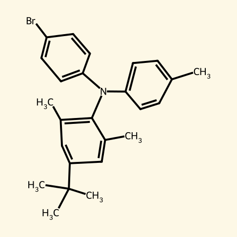 Cc1ccc(N(c2ccc(Br)cc2)c2c(C)cc(C(C)(C)C)cc2C)cc1